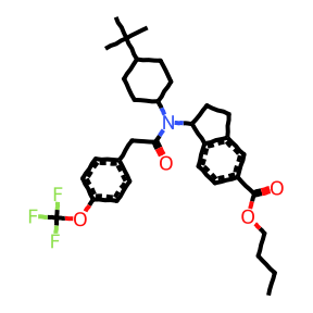 CCCCOC(=O)c1ccc2c(c1)CCC2N(C(=O)Cc1ccc(OC(F)(F)F)cc1)C1CCC(C(C)(C)C)CC1